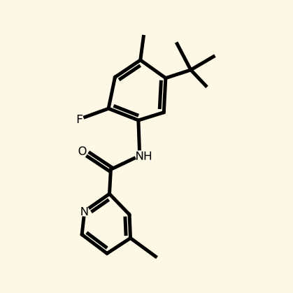 Cc1ccnc(C(=O)Nc2cc(C(C)(C)C)c(C)cc2F)c1